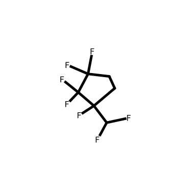 FC(F)C1(F)CCC(F)(F)C1(F)F